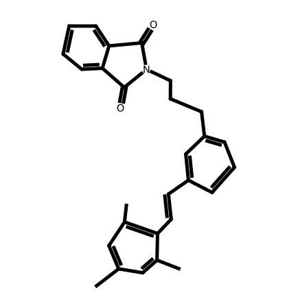 Cc1cc(C)c(/C=C/c2cccc(CCCN3C(=O)c4ccccc4C3=O)c2)c(C)c1